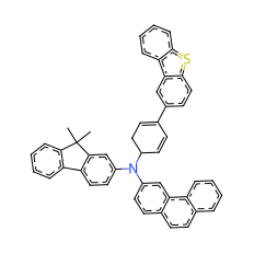 CC1(C)c2ccccc2-c2ccc(N(c3ccc4ccc5ccccc5c4c3)C3C=CC(c4ccc5sc6ccccc6c5c4)=CC3)cc21